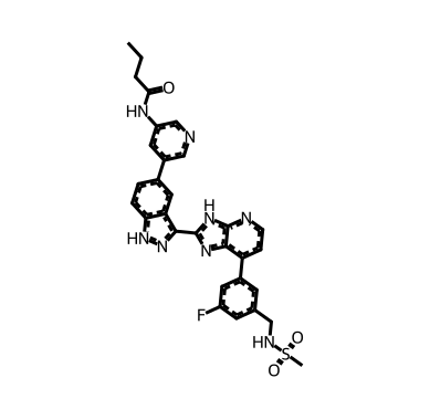 CCCC(=O)Nc1cncc(-c2ccc3[nH]nc(-c4nc5c(-c6cc(F)cc(CNS(C)(=O)=O)c6)ccnc5[nH]4)c3c2)c1